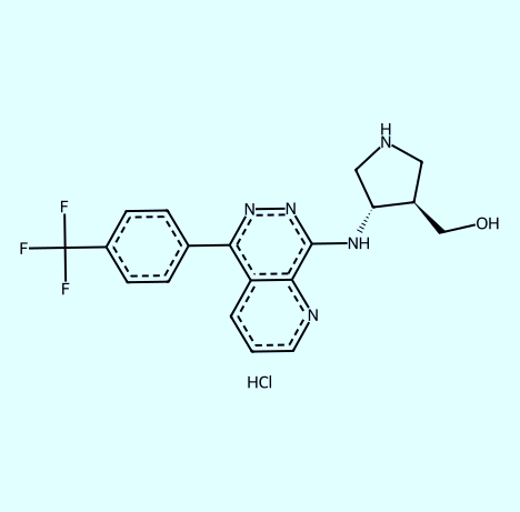 Cl.OC[C@@H]1CNC[C@H]1Nc1nnc(-c2ccc(C(F)(F)F)cc2)c2cccnc12